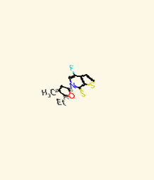 CC[C@H]1O[C@@H](n2cc(F)c3ccsc3c2=S)C[C@H]1C